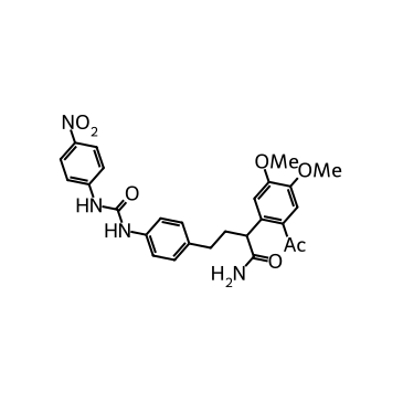 COc1cc(C(C)=O)c(C(CCc2ccc(NC(=O)Nc3ccc([N+](=O)[O-])cc3)cc2)C(N)=O)cc1OC